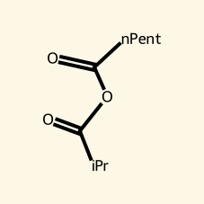 CCCCCC(=O)OC(=O)C(C)C